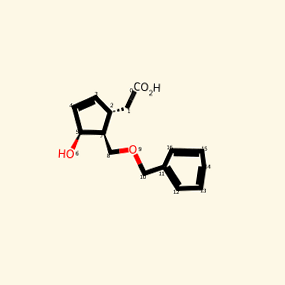 O=C(O)C[C@H]1C=C[C@H](O)[C@@H]1COCc1ccccc1